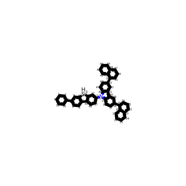 c1ccc(-c2ccc3c(c2)[SiH2]c2cc(-n4c5ccc(-c6cccc7ccccc67)cc5c5cc(-c6cccc7ccccc67)ccc54)ccc2-3)cc1